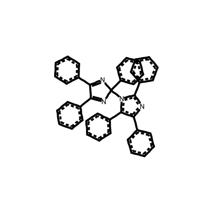 c1ccc(C2=NC(c3ccccc3)(n3c(-c4ccccc4)nc(-c4ccccc4)c3-c3ccccc3)N=C2c2ccccc2)cc1